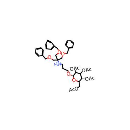 CC(=O)OCC1O[C@@H](OCCCNC(COCc2ccccc2)(COCc2ccccc2)COCc2ccccc2)C(OC(C)=O)C(OC(C)=O)[C@@H]1OC(C)=O